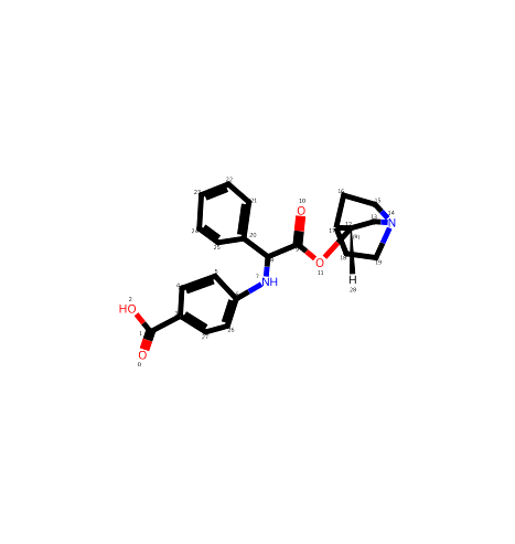 O=C(O)c1ccc(NC(C(=O)O[C@H]2CN3CCC2CC3)c2ccccc2)cc1